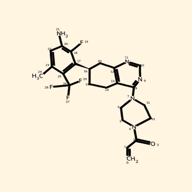 C=CC(=O)N1CCN(c2ncnc3c2CC[C@@H](c2c(F)c(N)cc(C)c2C(F)(F)F)C3)CC1